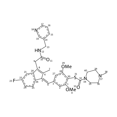 COc1cc(C=C2C(C)=C(CC(=O)NCc3cccnc3)c3cc(F)ccc32)cc(OC)c1SC(=O)N1CCN(C)CC1